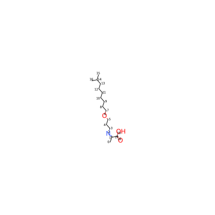 CC(=NCCCOCCCCCCCC(C)C)C(=O)O